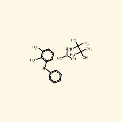 CC(C)(O)C(C)(C)O.Cc1cccc(Nc2ccccc2)c1C.OB(O)O